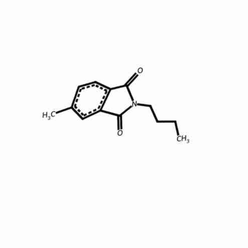 CCCCN1C(=O)c2ccc(C)cc2C1=O